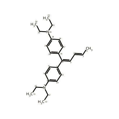 CC=CC=C(c1ccc(N(CC)CC)cc1)c1ccc(N(CC)CC)cc1